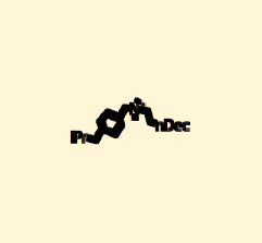 CCCCCCCCCCCC[N+](C)(C)Cc1ccc(CC(C)C)cc1